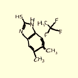 CC(F)(F)F.Cc1cc2nc(S)[nH]c2cc1C